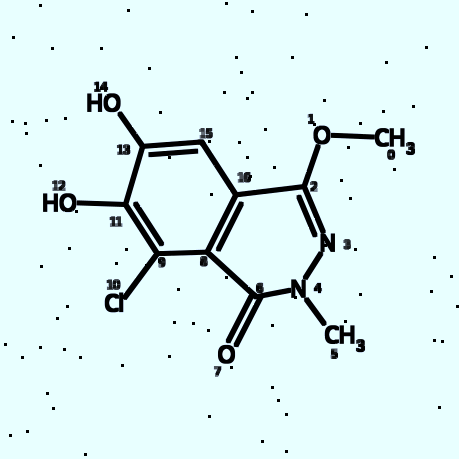 COc1nn(C)c(=O)c2c(Cl)c(O)c(O)cc12